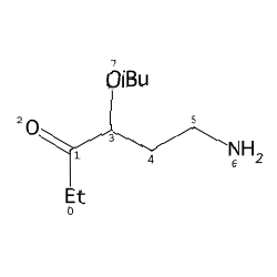 CCC(=O)C(CCN)OCC(C)C